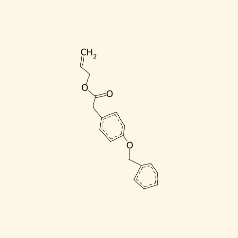 C=CCOC(=O)Cc1ccc(OCc2ccccc2)cc1